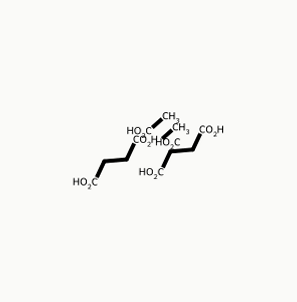 CC(=O)O.CC(=O)O.O=C(O)CCC(=O)O.O=C(O)CCC(=O)O